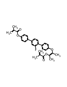 C=C(C)C(=O)OC(C)=C(C)Oc1ccc(-c2ccc(-c3ccc(OC(=O)C(=C)C)cc3)cc2F)cc1